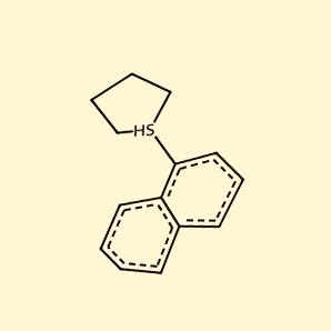 c1ccc2c([SH]3CCCC3)cccc2c1